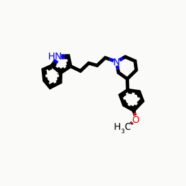 COc1ccc(C2CCCN(CCCCc3c[nH]c4ccccc34)C2)cc1